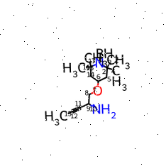 BN1C(C)(C)CC(OCC(N)C#CC)CC1(C)C